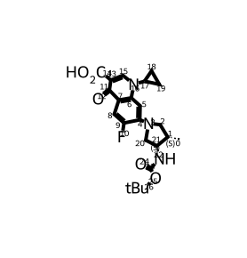 C[C@H]1CN(c2cc3c(cc2F)c(=O)c(C(=O)O)cn3C2CC2)C[C@H]1NC(=O)OC(C)(C)C